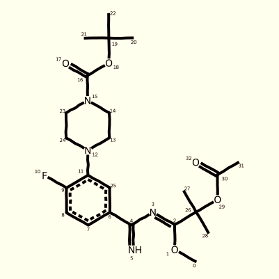 CO/C(=N\C(=N)c1ccc(F)c(N2CCN(C(=O)OC(C)(C)C)CC2)c1)C(C)(C)OC(C)=O